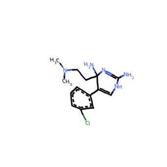 CN(C)CCC1(N)N=C(N)NC=C1c1cccc(Cl)c1